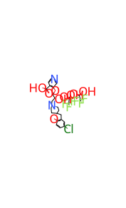 O=C(O)C(F)(F)F.O=C(O)C(F)(F)F.O=C(O)c1ccncc1OC[C@@H](O)CN1CCC2(CC1)Cc1cc(Cl)ccc1O2